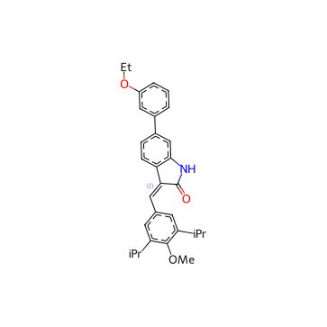 CCOc1cccc(-c2ccc3c(c2)NC(=O)/C3=C\c2cc(C(C)C)c(OC)c(C(C)C)c2)c1